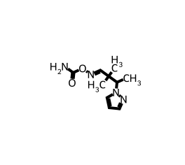 CC(n1cccn1)C(C)(C)C=NOC(N)=O